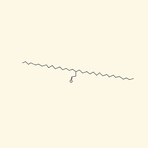 CCCCCCCCCCCCCCCCCC(CC=O)CCCCCCCCCCCCCCCC